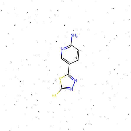 Nc1ccc(-c2nnc(S)s2)cn1